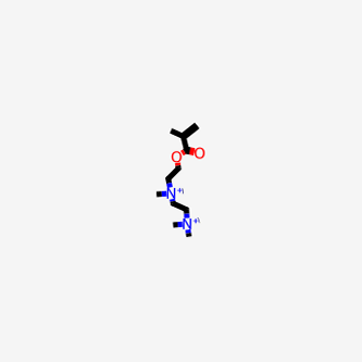 C=C(C)C(=O)OCC[N+](C)(C)CC[N+](C)(C)C